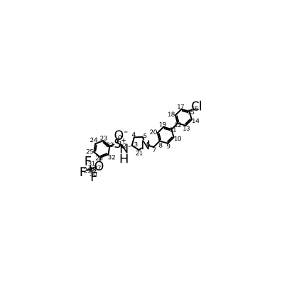 [O-][S+](N[C@@H]1CCN(Cc2ccc(-c3ccc(Cl)cc3)cc2)C1)c1cccc(OC(F)(F)F)c1